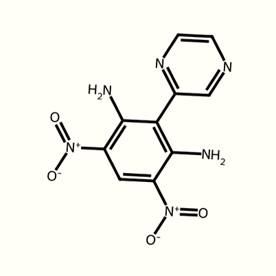 Nc1c([N+](=O)[O-])cc([N+](=O)[O-])c(N)c1-c1cnccn1